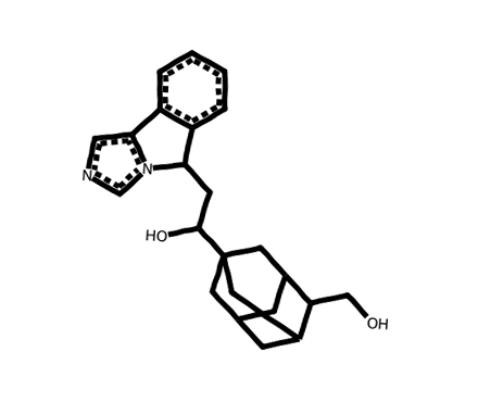 OCC1C2CC3CC1CC(C(O)CC1c4ccccc4-c4cncn41)(C3)C2